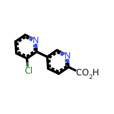 O=C(O)c1ccc(-c2ncccc2Cl)cn1